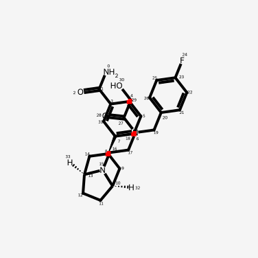 NC(=O)c1cccc([C@H]2C[C@H]3CC[C@@H](C2)N3CCN(Cc2ccc(F)cc2)C(=O)CO)c1